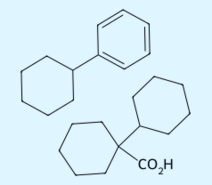 O=C(O)C1(C2CCCCC2)CCCCC1.c1ccc(C2CCCCC2)cc1